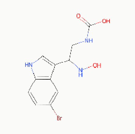 O=C(O)NCC(NO)c1c[nH]c2ccc(Br)cc12